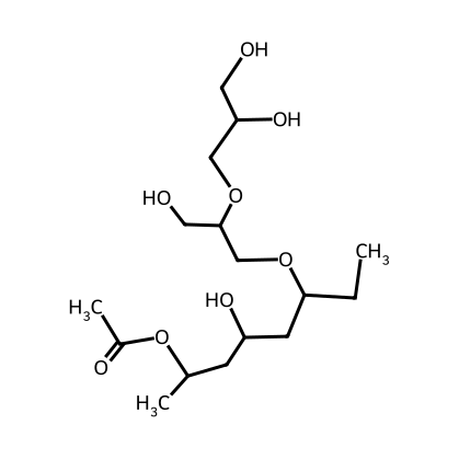 CCC(CC(O)CC(C)OC(C)=O)OCC(CO)OCC(O)CO